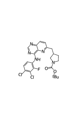 CC(C)(C)OC(=O)N1CCC(Cc2ccc3ncnc(Nc4ccc(Cl)c(Cl)c4F)c3n2)C1